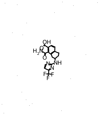 NC(=O)c1c(C(=O)O)ccc2c1CC(Nc1nccc(C(F)(F)F)n1)CC2